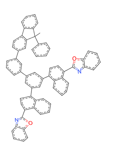 CC1(c2ccccc2)c2ccccc2-c2ccc(-c3cccc(-c4cc(-c5ccc(-c6nc7ccccc7o6)c6ccccc56)cc(-c5ccc(-c6nc7ccccc7o6)c6ccccc56)c4)c3)cc21